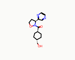 O=C([C@H]1CC[C@H](CO)CC1)N1OCC[C@H]1c1cnccn1